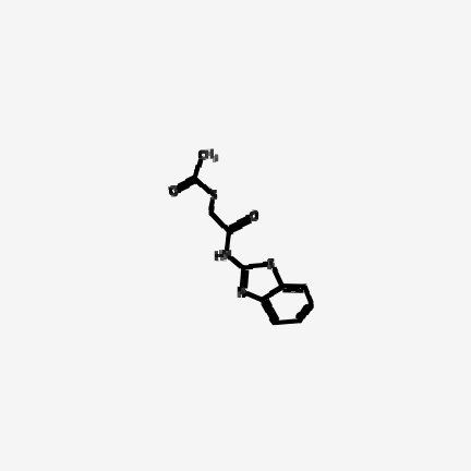 CC(=O)SCC(=O)Nc1nc2ccccc2s1